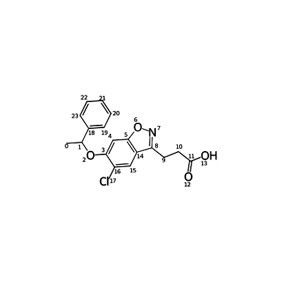 CC(Oc1cc2onc(CCC(=O)O)c2cc1Cl)c1ccccc1